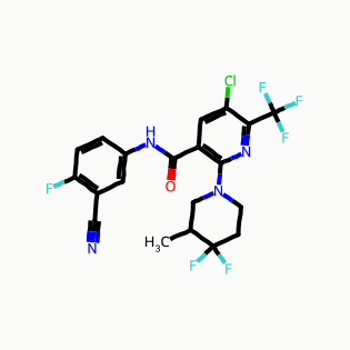 CC1CN(c2nc(C(F)(F)F)c(Cl)cc2C(=O)Nc2ccc(F)c(C#N)c2)CCC1(F)F